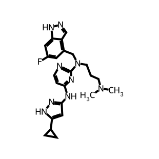 CN(C)CCCN(Cc1cc(F)cc2[nH]ncc12)c1nccc(Nc2cc(C3CC3)[nH]n2)n1